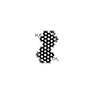 Cc1ccc2c3cc4c5ccc6c7nnnc8c9nnnc%10c%11cccc%12c%13c(C)ccc%14c%15cc%16c%17ccc%18c%19nnnc%20c%21nnnc%22c%23cccc%24c1c2c1c(c%23%24)c(c%22%21)c(c%19%20)c2c%18c%17c(c4c%16c4c5c6c5c(c78)c(c%109)c(c%11%12)c(c%14%13)c5c%154)c3c12